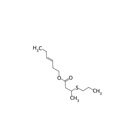 CCC=CCCOC(=O)CC(C)SCCC